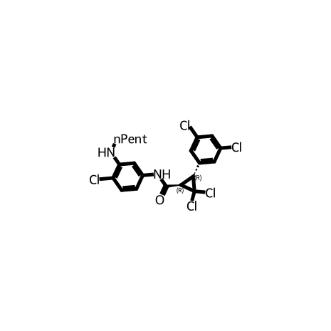 CCCCCNc1cc(NC(=O)[C@H]2[C@H](c3cc(Cl)cc(Cl)c3)C2(Cl)Cl)ccc1Cl